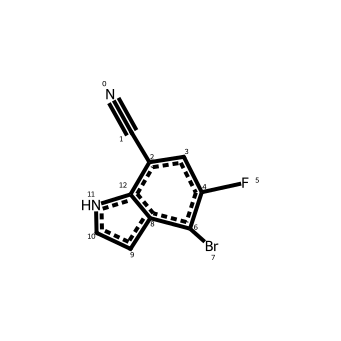 N#Cc1cc(F)c(Br)c2cc[nH]c12